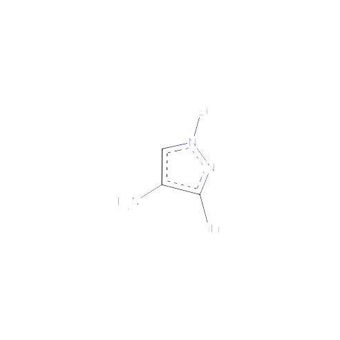 CCn1cc(N)c(C(C)C)n1